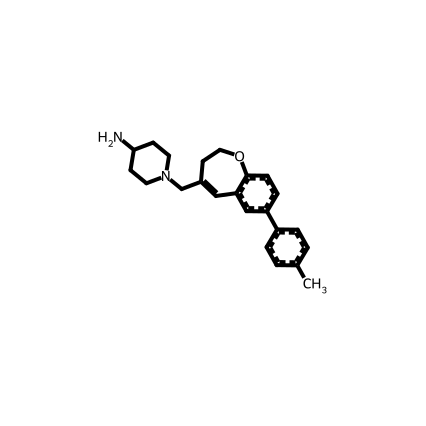 Cc1ccc(-c2ccc3c(c2)C=C(CN2CCC(N)CC2)CCO3)cc1